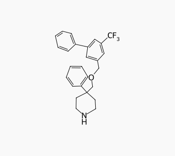 FC(F)(F)c1cc(COCC2(c3ccccc3)CCNCC2)cc(-c2ccccc2)c1